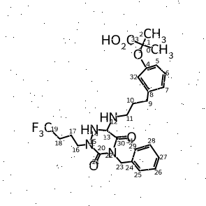 CC(C)(Oc1cccc(CCCNC2NN(CCCC(F)(F)F)C(=O)N(Cc3ccccc3)C2=O)c1)C(=O)O